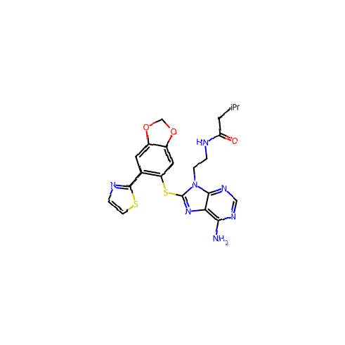 CC(C)CC(=O)NCCn1c(Sc2cc3c(cc2-c2nccs2)OCO3)nc2c(N)ncnc21